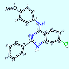 COc1ccc(Nc2nc(-c3ccccc3)nc3cc(Cl)ccc23)cc1